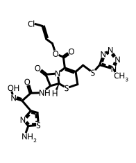 Cn1nnnc1SCC1=C(C(=O)OC/C=C/Cl)N2C(=O)C(NC(=O)/C(=N\O)c3csc(N)n3)[C@H]2SC1